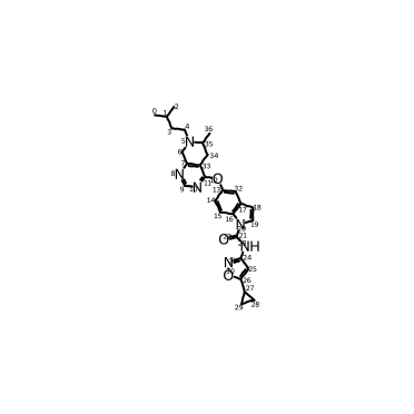 CC(C)CCN1Cc2ncnc(Oc3ccc4c(ccn4C(=O)Nc4cc(C5CC5)on4)c3)c2CC1C